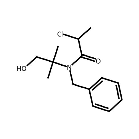 CC(Cl)C(=O)N(Cc1ccccc1)C(C)(C)CO